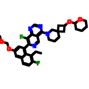 CCc1c(F)ccc2cc(OCOC)cc(-c3ncc4c(N5CCCC6(CC(OC7CCCCO7)C6)C5)ncnc4c3F)c12